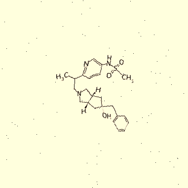 CC(CN1C[C@@H]2C[C@@](O)(Cc3ccccc3)C[C@@H]2C1)c1ccc(NS(C)(=O)=O)cn1